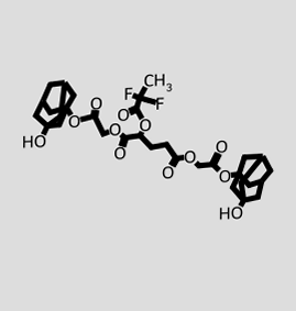 CC(F)(F)C(=O)OC(CCC(=O)OCC(=O)OC12CC3CC(CC(O)(C3)C1)C2)C(=O)OCC(=O)OC12CC3CC(CC(O)(C3)C1)C2